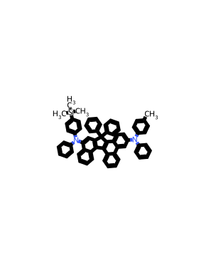 Cc1ccc(N(c2ccccc2)c2ccc3c4c(c5ccccc5c3c2)-c2c(cc(N(c3ccccc3)c3ccc([Si](C)(C)C)cc3)c3ccccc23)C4(c2ccccc2)c2ccccc2)cc1